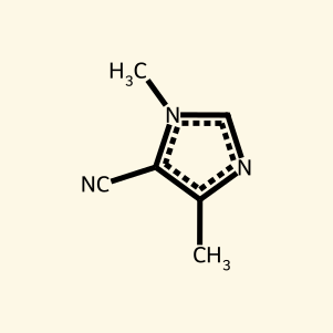 Cc1ncn(C)c1C#N